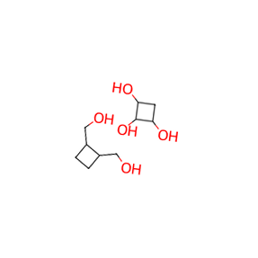 OC1CC(O)C1O.OCC1CCC1CO